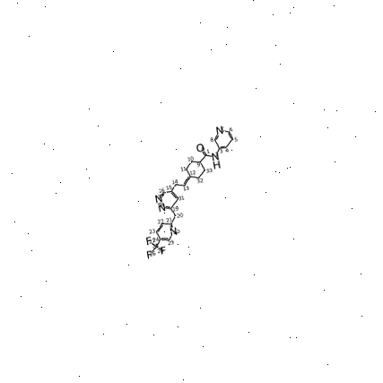 O=C(Nc1cccnc1)C1CCC(=CCc2cnnc(Cc3ccc(C(F)(F)F)cn3)c2)CC1